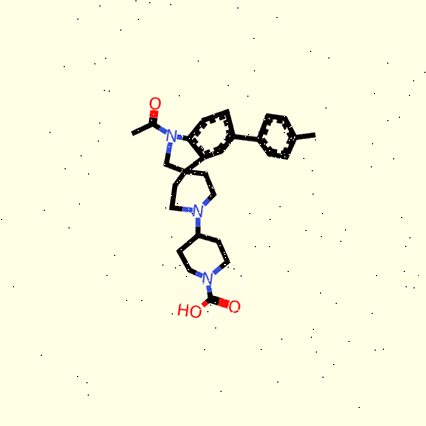 CC(=O)N1CC2(CCN(C3CCN(C(=O)O)CC3)CC2)c2cc(-c3ccc(C)cc3)ccc21